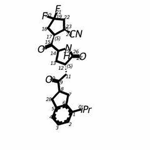 CC(C)c1cccc2c1CC(C(=O)C[C@@H]1CC(C(=O)[C@H]3CC(F)(F)C[C@H]3C#N)NC1=O)C2